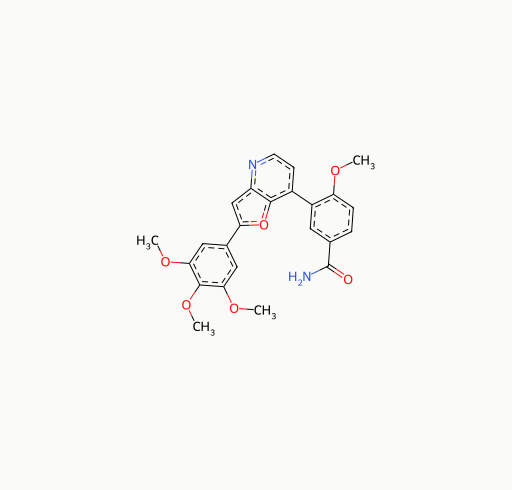 COc1ccc(C(N)=O)cc1-c1ccnc2cc(-c3cc(OC)c(OC)c(OC)c3)oc12